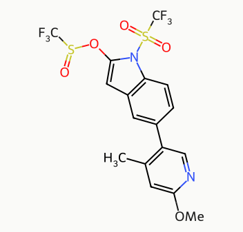 COc1cc(C)c(-c2ccc3c(c2)cc(OS(=O)C(F)(F)F)n3S(=O)(=O)C(F)(F)F)cn1